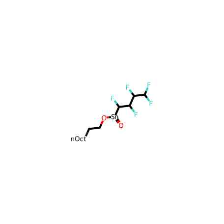 CCCCCCCCCC[O][Sn](=[O])[CH](F)C(F)C(F)C(F)F